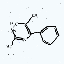 CC(C)=C(/N=C(/C)S)c1ccccc1